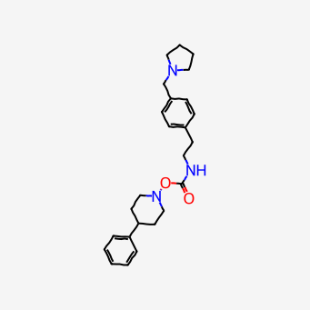 O=C(NCCc1ccc(CN2CCCC2)cc1)ON1CCC(c2ccccc2)CC1